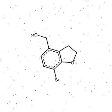 OCc1ccc(Br)c2c1CCO2